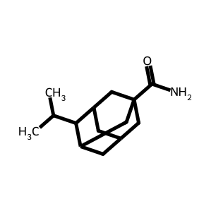 CC(C)C1C2CC3CC1CC(C(N)=O)(C3)C2